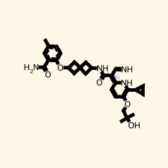 Cc1ccc(OC2CC3(CC(NC(=O)/C(C=N)=C4\C=CC(OCC(C)(C)O)=C(C5CC5)N4)C3)C2)c(C(N)=O)c1